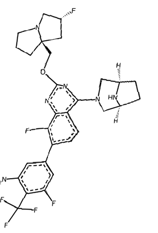 Nc1cc(-c2ccc3c(N4C[C@H]5CC[C@@H](C4)N5)nc(OC[C@@]45CCCN4C[C@H](F)C5)nc3c2F)cc(F)c1C(F)(F)F